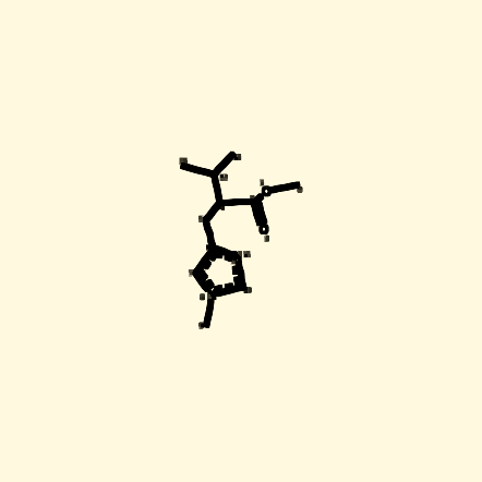 COC(=O)C(Cc1cn(C)cn1)C(C)C